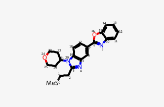 CSCCc1nc2cc(-c3nc4ccccc4o3)ccc2n1C1CCOCC1